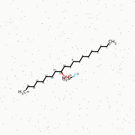 CCCCCCCCCCCC(O)CCCCCCCC.F[SiH3]